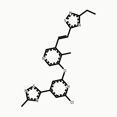 CCc1nsc(/C=C/c2cncc(Oc3cc(-c4nc(C)ns4)cc(Cl)n3)c2C)n1